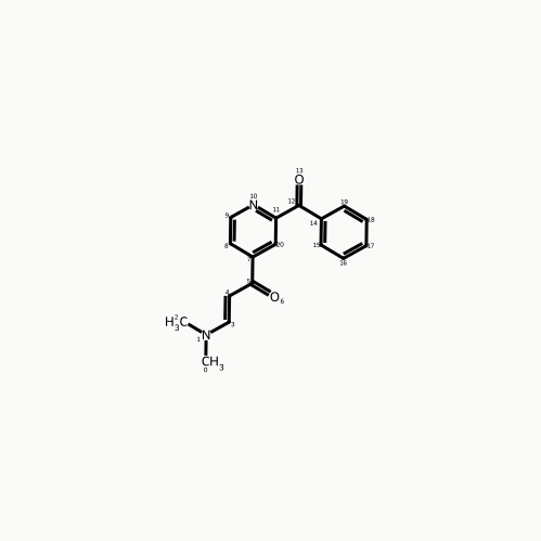 CN(C)C=CC(=O)c1ccnc(C(=O)c2ccccc2)c1